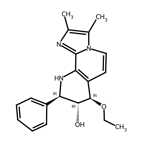 CCO[C@@H]1c2ccn3c(C)c(C)nc3c2N[C@H](c2ccccc2)[C@H]1O